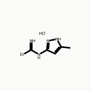 CCC(=N)Nc1cc(C)[nH]n1.Cl